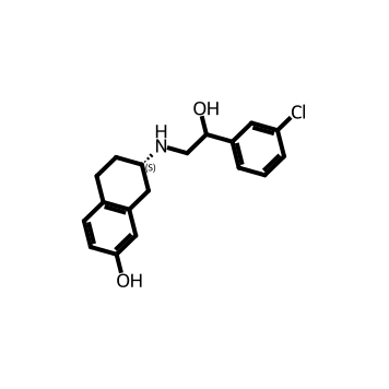 Oc1ccc2c(c1)C[C@@H](NCC(O)c1cccc(Cl)c1)CC2